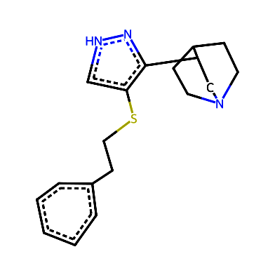 c1ccc(CCSc2c[nH]nc2C2CN3CCC2CC3)cc1